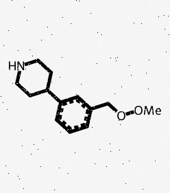 COOCc1cccc(C2CCNCC2)c1